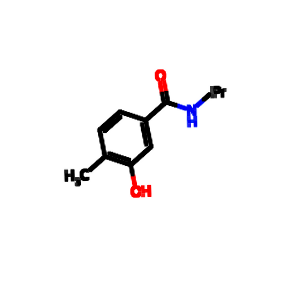 Cc1ccc(C(=O)NC(C)C)cc1O